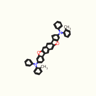 Cc1ccccc1N(c1ccccc1)c1ccc2c(c1)oc1cc3cc4c(cc3cc12)oc1cc(N(c2ccccc2)c2ccccc2C)ccc14